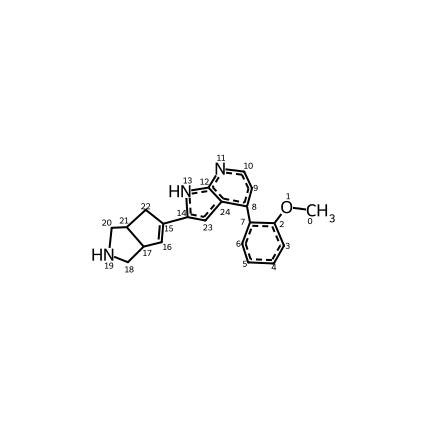 COc1ccccc1-c1ccnc2[nH]c(C3=CC4CNCC4C3)cc12